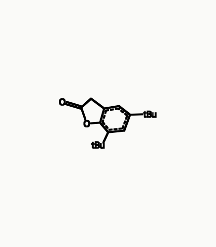 CC(C)(C)c1cc2c(c(C(C)(C)C)c1)OC(=O)C2